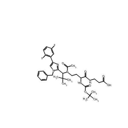 CC(=O)N(CCC(NC(=O)OC(C)(C)C)C(=O)NCCC(=O)O)C(c1nc(-c2cc(F)ccc2F)cn1Cc1ccccc1)C(C)(C)C